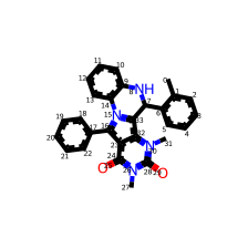 Cc1ccccc1C1Nc2ccccc2-n2c(-c3ccccc3)c3c(=O)n(C)c(=O)n(C)c3c21